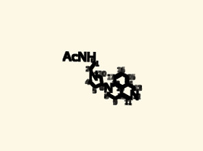 CC(=O)NCCN1CCC(N2CCc3cncc4cccc2c34)C1